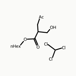 CCCCCCOC(=O)C(CO)CC(C)=O.ClC(Cl)Cl